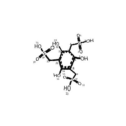 O=S(=O)(O)Cc1c(O)c(CS(=O)(=O)O)c(O)c(CS(=O)(=O)O)c1O